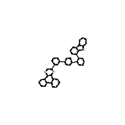 c1cc(-c2ccc(-c3ccccc3-c3cccc4c3sc3ccccc34)cc2)cc(-c2cnc3c4ccccc4c4ccccc4c3n2)c1